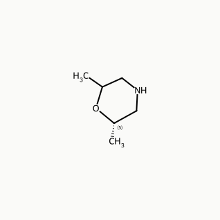 CC1CNC[C@H](C)O1